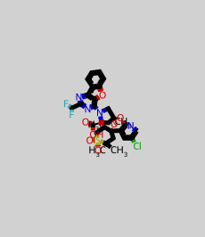 CO[C@]1(c2cc(Cl)cnc2O[C@H]2C[C@@H](C(=O)O)N(c3nc(C(F)F)nc4c3oc3ccccc34)C2)CC(C)(C)S(=O)(=O)C[C@@H]1C